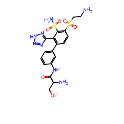 NCCS(=O)(=O)c1ccc(-c2cccc(NC(=O)C(N)CO)c2)c(-c2nn[nH]n2)c1S(N)(=O)=O